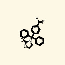 O=C1OCCN1C(c1ccccc1)(c1ccccc1)c1ccc(C(F)F)cc1